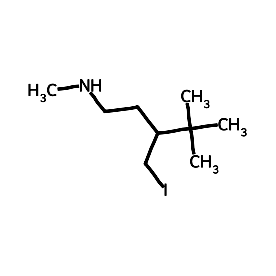 CNCCC(CI)C(C)(C)C